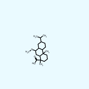 COC1CC2C(C)(C(=O)O)CCCC2(C)C2CCC(C(C)C)CC12